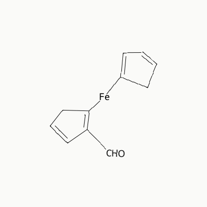 O=CC1=[C]([Fe][C]2=CC=CC2)CC=C1